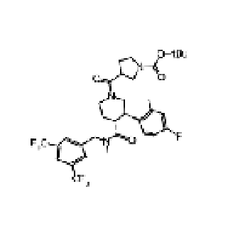 Cc1cc(F)ccc1[C@@H]1CN(C(=O)C2CCN(C(=O)OC(C)(C)C)C2)CC[C@H]1C(=O)N(C)Cc1cc(C(F)(F)F)cc(C(F)(F)F)c1